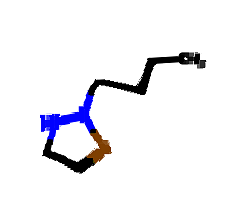 CCCCN1NCCS1